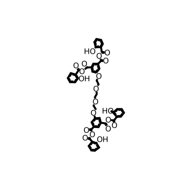 O=C(OC(=O)c1ccccc1O)c1cc(OCCOCCOCCOc2cc(C(=O)OC(=O)c3ccccc3O)cc(C(=O)OC(=O)c3ccccc3O)c2)cc(C(=O)OC(=O)c2ccccc2O)c1